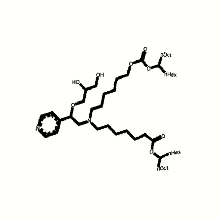 CCCCCCCCC(CCCCCC)OC(=O)CCCCCCN(CCCCCCOC(=O)OC(CCCCCC)CCCCCCCC)CC(OCC(O)CO)c1ccncc1